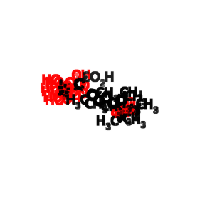 C/C=C(/C)C(=O)OC1[C@H](OC(=O)/C(C)=C\C)[C@@]2(CO)C(CC1(C)C)C1=CCC3[C@@]4(C)CC[C@H](O[C@@H]5OC(C(=O)O)[C@@H](O)C(O[C@@H]6O[C@@H](CO)C(O)C6O)C5O[C@@H]5OC(CO)[C@H](O)C(O)C5O)C(C)(C)C4CC[C@@]3(C)[C@]1(C)C[C@H]2O